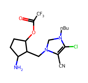 CCCCN1CN(CC2C(N)CCC2OC(=O)C(F)(F)F)C(C#N)=C1Cl